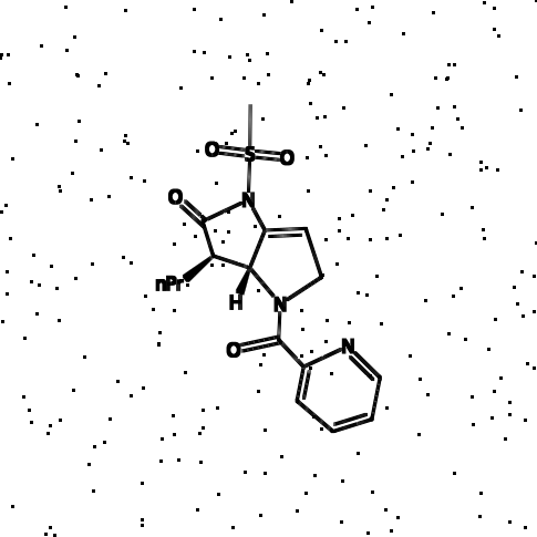 CCC[C@H]1C(=O)N(S(C)(=O)=O)C2=CCN(C(=O)c3ccccn3)[C@@H]21